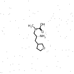 CN(C[C@H](N)CC1CCOC1)C(=O)O